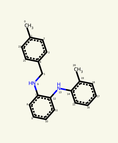 Cc1ccc(CNc2ccccc2Nc2[c]cccc2C)cc1